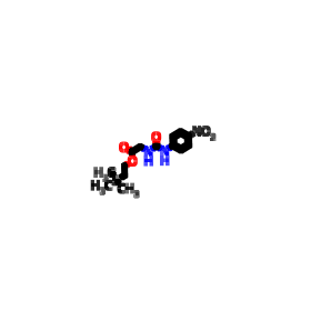 C[Si](C)(C)CCOC(=O)CNC(=O)Nc1ccc([N+](=O)[O-])cc1